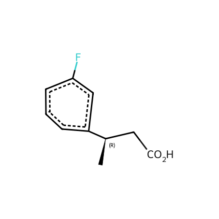 C[C@H](CC(=O)O)c1cccc(F)c1